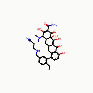 CCc1ccc(CNCCC#N)cc1-c1ccc(O)c2c1CC1CC3C(N(C)C)C(O)=C(C(N)=O)C(=O)C3(O)C(O)=C1C2=O